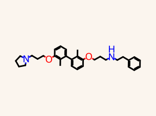 Cc1c(OCCCNCCc2ccccc2)cccc1-c1cccc(OCCCN2CCCC2)c1C